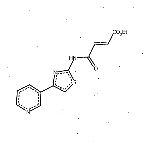 CCOC(=O)/C=C/C(=O)Nc1nc(-c2cccnc2)cs1